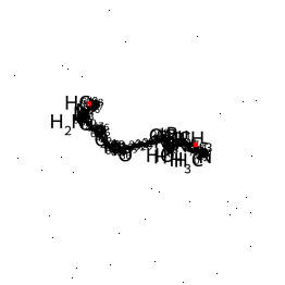 Cc1ncsc1-c1ccc(C(C)NC(=O)[C@@H]2C[C@@H](O)CN2C(=O)C(NC(=O)CCCCCCCCC(=O)N2CCN(CCOc3cccc(CCOc4cc(-c5ccccc5O)nnc4N)c3)CC2)C(C)(C)C)cc1